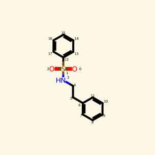 O=S(=O)(NCCc1cc[c]cc1)c1ccccc1